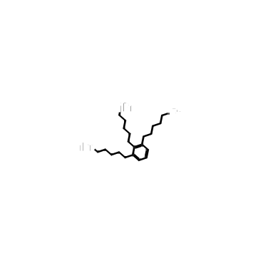 CC(C)CCCCCc1[c]ccc(CCCCCC(C)C)c1CCCCCC(C)C